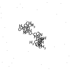 COC(=O)N[C@H](C(=O)N1[C@H](c2nc3ccc4cc(-c5ccc(-c6cnc([C@@H]7C[C@@]8(CCCOC8)CN7C(=O)[C@@H](C)C(C)C)[nH]6)cc5)ccc4c3[nH]2)C[C@@H]2C[C@@H]21)C(C)C